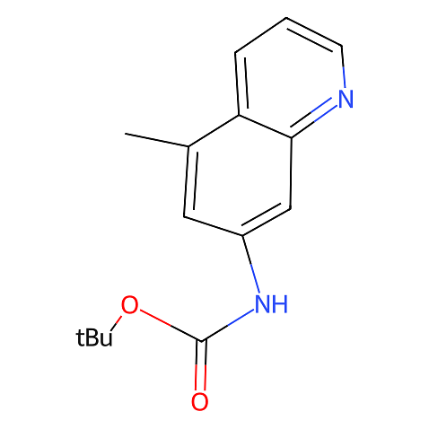 Cc1cc(NC(=O)OC(C)(C)C)cc2ncccc12